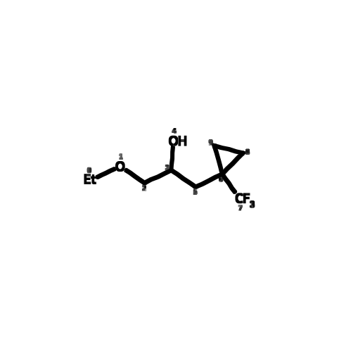 CCOCC(O)CC1(C(F)(F)F)CC1